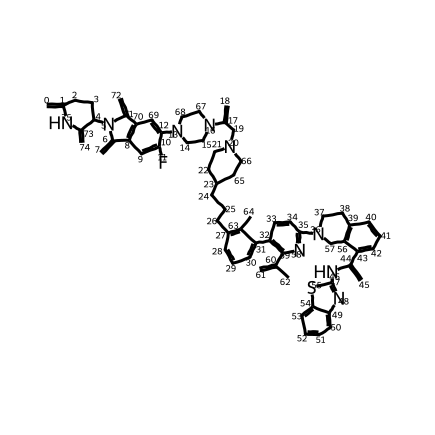 C=C1CCC(n2c(=C)c3cc(F)c(N4CCN(C(=C)CN5CCC(CCCc6cccc(-c7ccc(N8CCc9cccc(C(=C)Nc%10nc%11ccccc%11s%10)c9C8)nc7C(=C)C)c6C)CC5)CC4)cc3c2=C)C(=C)N1